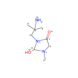 CN1CC(=O)N(CC(C)(C)N)C1O